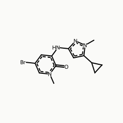 Cn1nc(Nc2cc(Br)cn(C)c2=O)cc1C1CC1